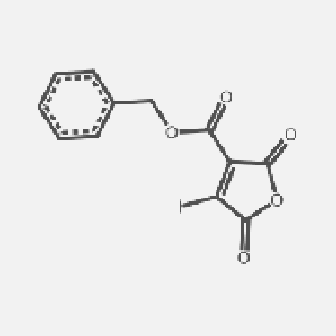 O=C1OC(=O)C(C(=O)OCc2ccccc2)=C1I